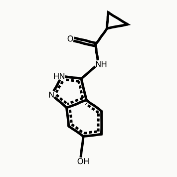 O=C(Nc1[nH]nc2cc(O)ccc12)C1CC1